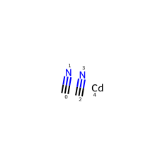 C#N.C#N.[Cd]